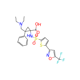 CCN(CC)CC1(c2ccccc2)CC1(NS(=O)(=O)c1ccc(-c2cc(C(F)(F)F)on2)s1)C(=O)O